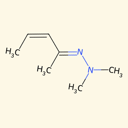 C/C=C\C(C)=N\N(C)C